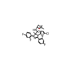 CN(C)CC1(NC(=O)C2(C)C(c3ccc(Cl)o3)C(c3ccc(F)cc3F)=NN2c2ccc(F)cc2F)COC1